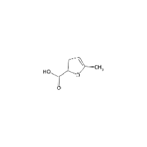 CC1=CCC(C(=O)O)O1